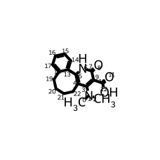 CN(C)c1c2c([nH]c(=O)c1C(=O)O)-c1ccccc1CCCC2